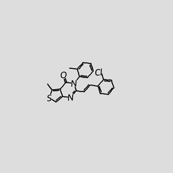 Cc1ccccc1-n1c(/C=C/c2ccccc2Cl)nc2csc(C)c2c1=O